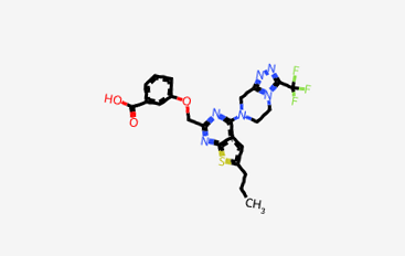 CCCc1cc2c(N3CCn4c(nnc4C(F)(F)F)C3)nc(COc3cccc(C(=O)O)c3)nc2s1